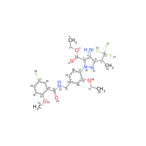 CCOC(=O)c1c(N)c(C(C)C(F)(F)F)nn1-c1ccc(CNC(=O)c2cc(F)ccc2OC)cc1OCC